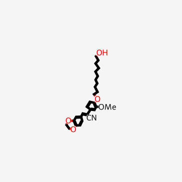 COc1cc(/C(C#N)=C/c2ccc3c(c2)OCCO3)ccc1OCCCCCCCCCCCO